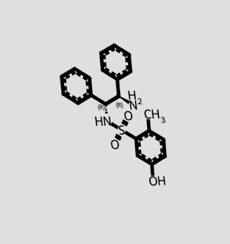 Cc1ccc(O)cc1S(=O)(=O)N[C@H](c1ccccc1)[C@H](N)c1ccccc1